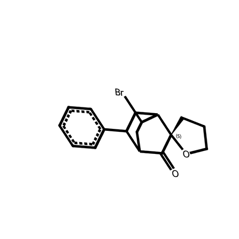 O=C1C2CC(Br)C(CC2c2ccccc2)[C@@]12CCCO2